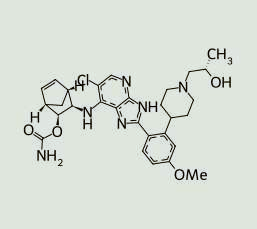 COc1ccc(-c2nc3c(N[C@H]4[C@@H](OC(N)=O)[C@@H]5C=C[C@H]4C5)c(Cl)cnc3[nH]2)c(C2CCN(C[C@H](C)O)CC2)c1